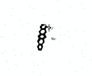 O=S(=O)([O-])c1nccc2c1C=c1cc3c(cc1C2)=Cc1ccccc1C3.[Na+]